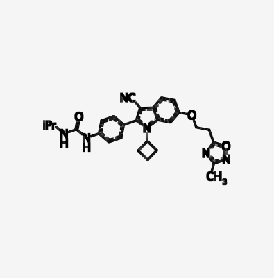 Cc1noc(CCOc2ccc3c(C#N)c(-c4ccc(NC(=O)NC(C)C)cc4)n(C4CCC4)c3c2)n1